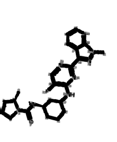 C[C@@H]1CCCN1C(=O)N[C@@H]1CCCC(Nc2nc(-c3nn(C)c4ncccc34)ncc2F)C1